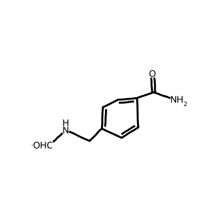 NC(=O)c1ccc(CN[C]=O)cc1